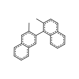 Cc1cc2ccccc2cc1-c1c(C)ccc2ccccc12